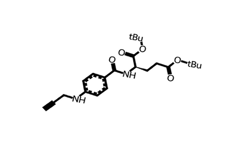 C#CCNc1ccc(C(=O)N[C@H](CCC(=O)OC(C)(C)C)C(=O)OC(C)(C)C)cc1